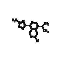 CC(C)c1cnc(-c2ncn(C)n2)c2cnc(Cl)cc12